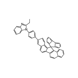 CCc1nc2ccccc2n1-c1ccc(-c2ccc3c4c(ccc3c2)-c2ccc3ccccc3c2C42c3ccccc3-c3ccccc32)cc1